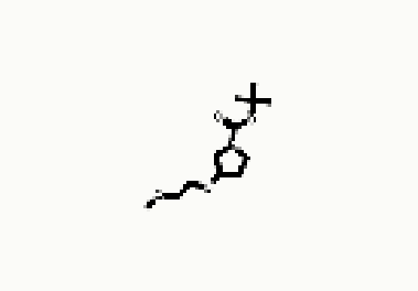 COCCOC1CCN(C(=O)OC(C)(C)C)C1